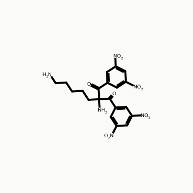 NCCCCCC(N)(C(=O)c1cc([N+](=O)[O-])cc([N+](=O)[O-])c1)C(=O)c1cc([N+](=O)[O-])cc([N+](=O)[O-])c1